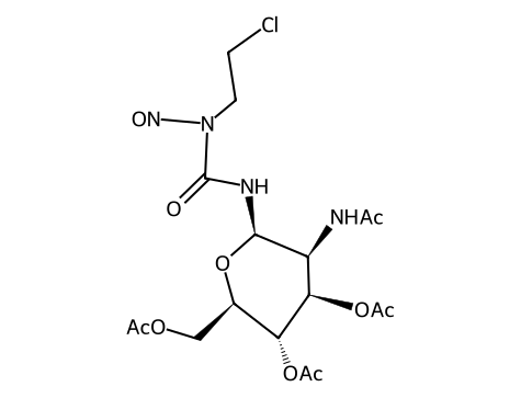 CC(=O)N[C@H]1[C@@H](OC(C)=O)[C@H](OC(C)=O)[C@@H](COC(C)=O)O[C@H]1NC(=O)N(CCCl)N=O